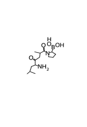 CC(C)CC(N)C(=O)CC(C)C(=O)N1CCCC1B(O)O